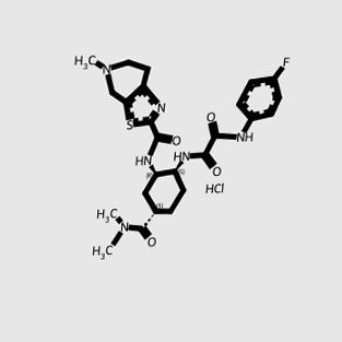 CN1CCc2nc(C(=O)N[C@@H]3C[C@@H](C(=O)N(C)C)CC[C@@H]3NC(=O)C(=O)Nc3ccc(F)cc3)sc2C1.Cl